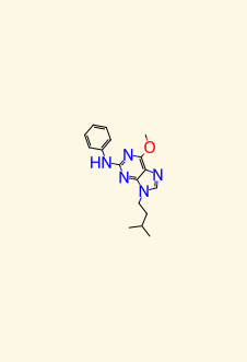 COc1nc(Nc2ccccc2)nc2c1ncn2CCC(C)C